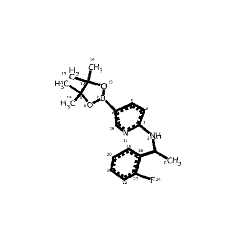 CC(Nc1ccc(B2OC(C)(C)C(C)(C)O2)cn1)c1ccccc1F